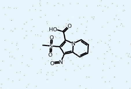 CS(=O)(=O)c1c(N=O)c2ccccn2c1C(=O)O